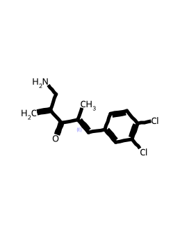 C=C(CN)C(=O)/C(C)=C/c1ccc(Cl)c(Cl)c1